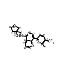 Cc1nc(-c2cnc(NC[C@]3(O)CCOC3)c3cccnc23)ccc1C(F)(F)F